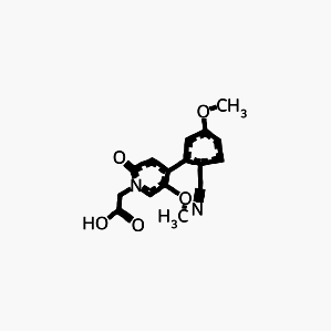 COc1ccc(C#N)c(-c2cc(=O)n(CC(=O)O)cc2OC)c1